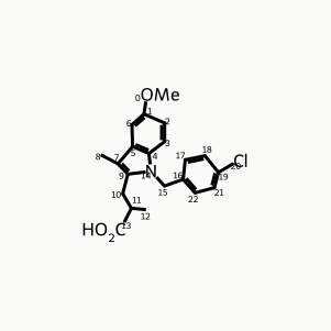 COc1ccc2c(c1)c(C)c(CC(C)C(=O)O)n2Cc1ccc(Cl)cc1